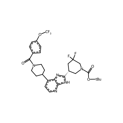 CC(C)(C)OC(=O)N1C[C@H](c2nc3c(C4CCN(C(=O)c5ccc(OC(F)(F)F)cc5)CC4)ccnc3[nH]2)CC(F)(F)C1